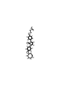 CN(C)CCOc1ccc(-n2ccn(-c3ccc(OC4CCCCCC4)cc3)c2=O)cc1